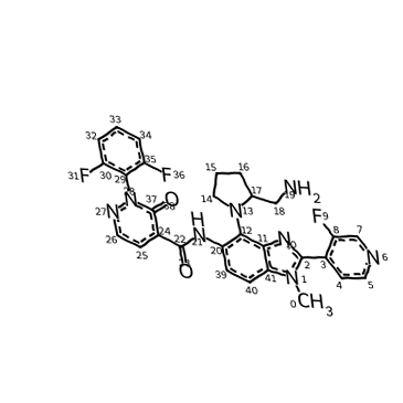 Cn1c(-c2ccncc2F)nc2c(N3CCCC3CN)c(NC(=O)c3ccnn(-c4c(F)cccc4F)c3=O)ccc21